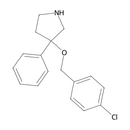 Clc1ccc(COC2(c3ccccc3)CCNC2)cc1